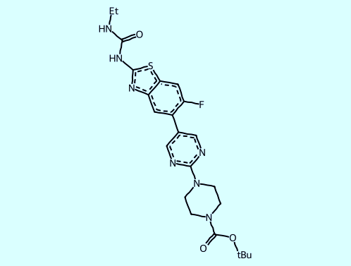 CCNC(=O)Nc1nc2cc(-c3cnc(N4CCN(C(=O)OC(C)(C)C)CC4)nc3)c(F)cc2s1